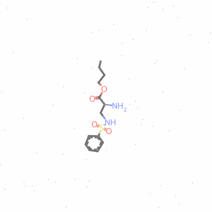 CCCCOC(=O)[C@@H](N)CNS(=O)(=O)c1ccccc1